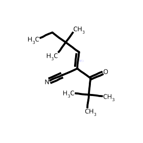 CCC(C)(C)/C=C(\C#N)C(=O)C(C)(C)C